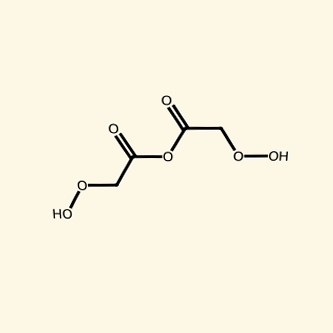 O=C(COO)OC(=O)COO